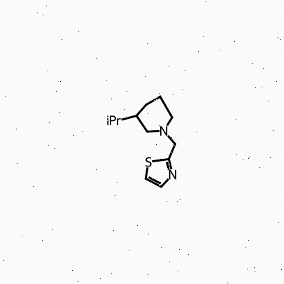 CC(C)C1CCCN(Cc2nccs2)C1